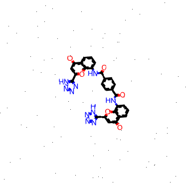 O=C(Nc1cccc2c(=O)cc(-c3nnn[nH]3)oc12)c1ccc(C(=O)Nc2cccc3c(=O)cc(-c4nnn[nH]4)oc23)cc1